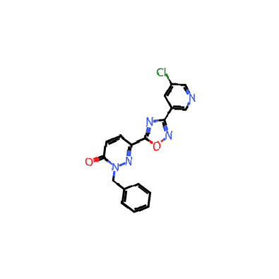 O=c1ccc(-c2nc(-c3cncc(Cl)c3)no2)nn1Cc1ccccc1